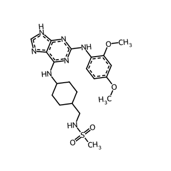 COc1ccc(Nc2nc(NC3CCC(CNS(C)(=O)=O)CC3)c3nc[nH]c3n2)c(OC)c1